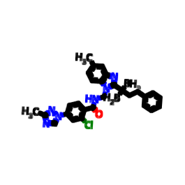 BC(B)(CCc1ccccc1)c1nc2cc(C)ccc2n1CNC(=O)c1ccc(-n2cnc(C)n2)cc1Cl